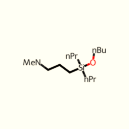 CCCCO[Si](CCC)(CCC)CCCNC